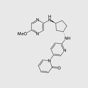 COc1cnc(N[C@H]2CC[C@H](Nc3ccc(-n4ccccc4=O)cn3)C2)cn1